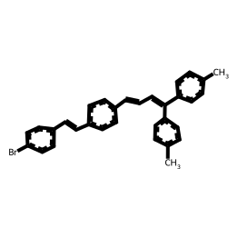 Cc1ccc(C(=CC=Cc2ccc(C=Cc3ccc(Br)cc3)cc2)c2ccc(C)cc2)cc1